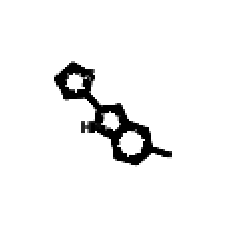 Cc1ccc2[nH]c(-c3cccs3)cc2c1